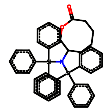 O=C1CCCCC(N([Si](c2ccccc2)(c2ccccc2)c2ccccc2)[Si](c2ccccc2)(c2ccccc2)c2ccccc2)CO1